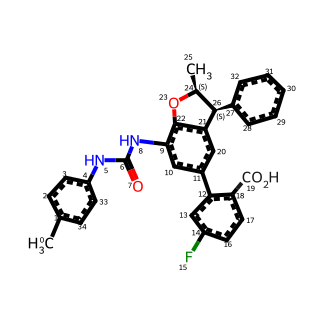 Cc1ccc(NC(=O)Nc2cc(-c3cc(F)ccc3C(=O)O)cc3c2O[C@@H](C)[C@H]3c2ccccc2)cc1